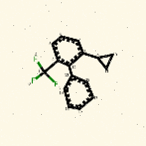 FC(F)(F)c1cccc(C2CC2)c1-c1ccccc1